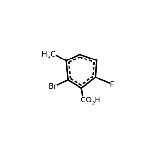 Cc1ccc(F)c(C(=O)O)c1Br